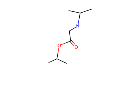 CC(C)[N]CC(=O)OC(C)C